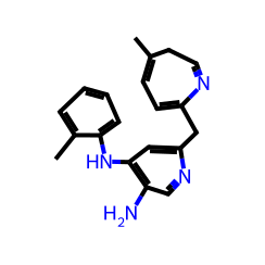 CC1=CC=C(Cc2cc(Nc3ccccc3C)c(N)cn2)N=CC1